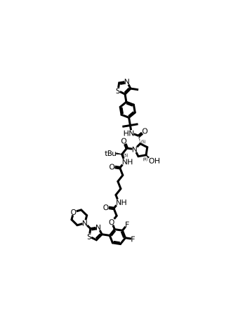 Cc1ncsc1-c1ccc(C(C)(C)NC(=O)[C@@H]2C[C@@H](O)CN2C(=O)[C@@H](NC(=O)CCCCNC(=O)COc2c(-c3csc(N4CCOCC4)n3)ccc(F)c2F)C(C)(C)C)cc1